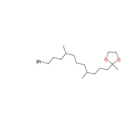 CC(C)CCCC(C)CCCC(C)CCCC1(C)OCCO1